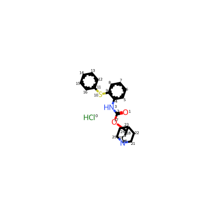 Cl.O=C(Nc1ccccc1Sc1ccccc1)OC1CN2CCC1CC2